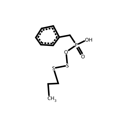 CCCSSOP(=O)(O)Cc1ccccc1